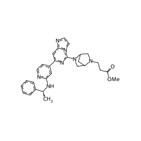 COC(=O)CCN1CC2CC1CN2c1nc(-c2ccnc(N[C@@H](C)c3ccccc3)c2)cc2nccn12